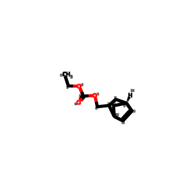 CCOC(=O)OCC1C[C@H]2C=CC1C2